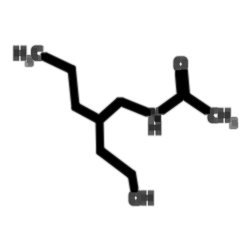 CCCC(CCO)CNC(C)=O